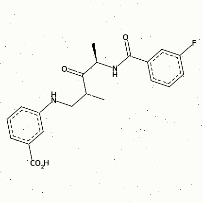 CC(CNc1cccc(C(=O)O)c1)C(=O)[C@@H](C)NC(=O)c1cccc(F)c1